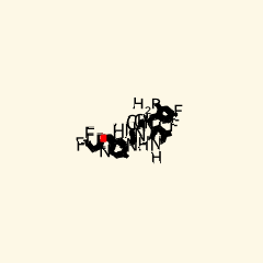 C/C=C1/C=C(N/C(=N/C(=O)N(Cc2cc(F)c(F)cc2P)C2=CNCC(C)=C2)NC=O)C(C)=C/C1=N/C(CC)CC(F)F